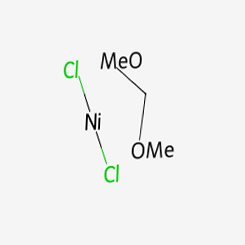 COCOC.[Cl][Ni][Cl]